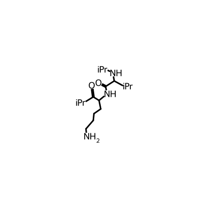 CC(C)NC(C(=O)NC(CCCCN)C(=O)C(C)C)C(C)C